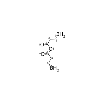 BCCC(=O)OC(=O)CCB